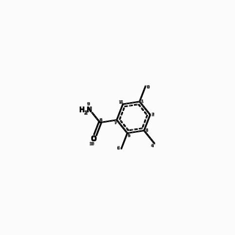 Cc1cc(C)c(C)c(C(N)=O)c1